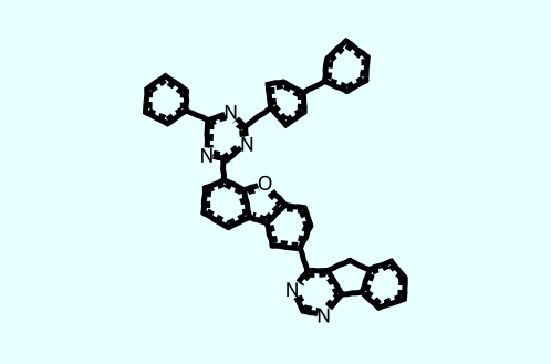 c1ccc(-c2ccc(-c3nc(-c4ccccc4)nc(-c4cccc5c4oc4ccc(-c6ncnc7c6Cc6ccccc6-7)cc45)n3)cc2)cc1